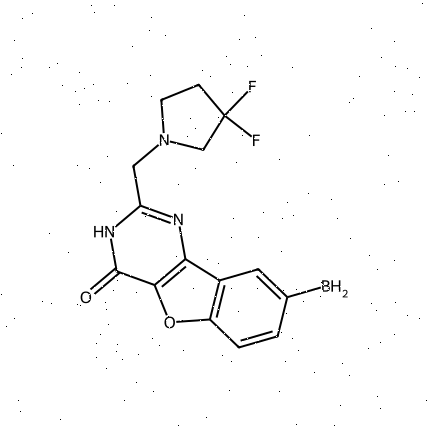 Bc1ccc2oc3c(=O)[nH]c(CN4CCC(F)(F)C4)nc3c2c1